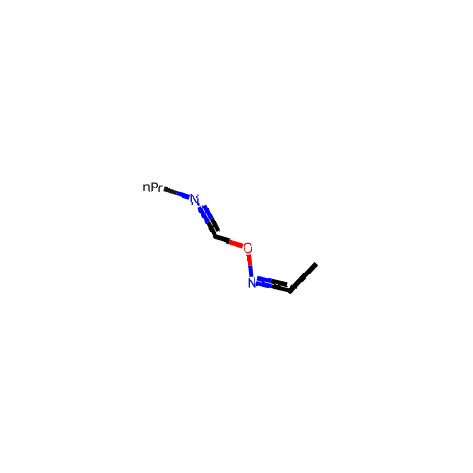 C/C=N\O/C=N/CCC